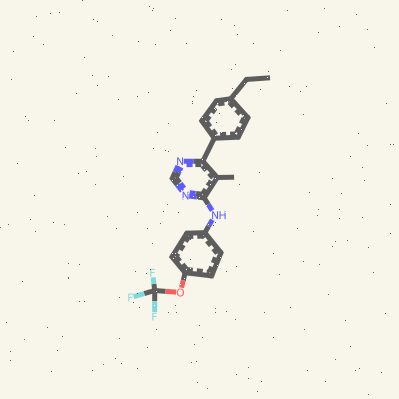 CCc1ccc(-c2ncnc(Nc3ccc(OC(F)(F)F)cc3)c2C)cc1